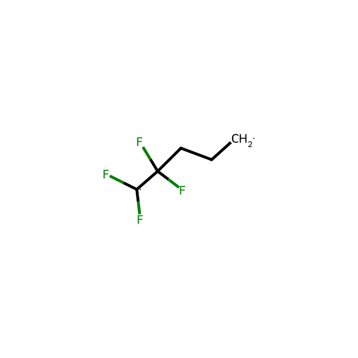 [CH2]CCC(F)(F)[C](F)F